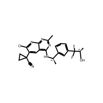 Cc1nc(N[C@H](C)c2cccc(C(F)(F)[C@@H](C)O)c2)c2cc(C3(C#N)CC3)c(Cl)nc2n1